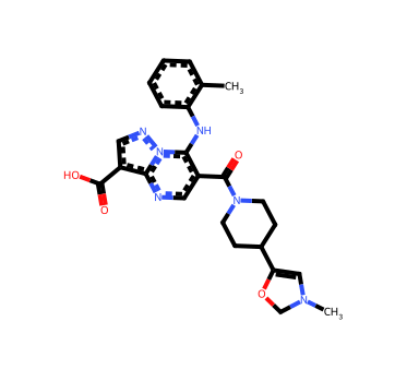 Cc1ccccc1Nc1c(C(=O)N2CCC(C3=CN(C)CO3)CC2)cnc2c(C(=O)O)cnn12